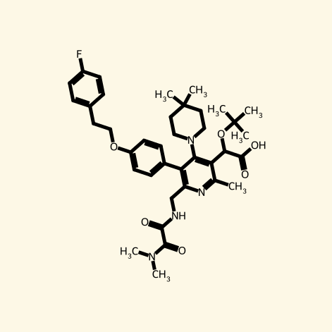 Cc1nc(CNC(=O)C(=O)N(C)C)c(-c2ccc(OCCc3ccc(F)cc3)cc2)c(N2CCC(C)(C)CC2)c1C(OC(C)(C)C)C(=O)O